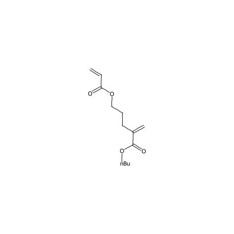 C=CC(=O)OCCCC(=C)C(=O)OCCCC